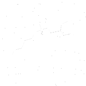 COCC(O)COP(=O)(O)OCC(COC)OC